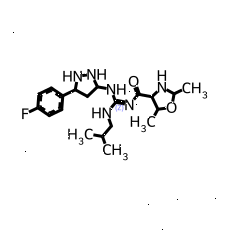 CC(C)CN/C(=N/C(=O)C1NC(C)OC1C)NC1CC(c2ccc(F)cc2)NN1